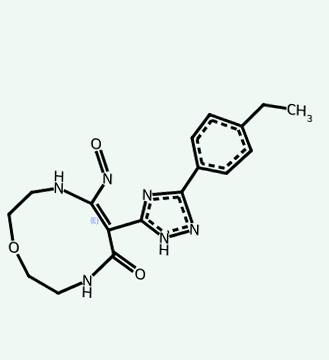 CCc1ccc(-c2n[nH]c(/C3=C(\N=O)NCCOCCNC3=O)n2)cc1